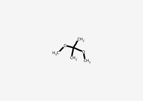 [CH2]C([CH2])(OC)OC